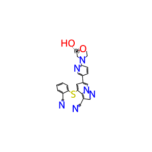 N#Cc1ccccc1Sc1cc(-c2ccc(N3CCO[C@@H](CO)C3)nc2)cn2ncc(C#N)c12